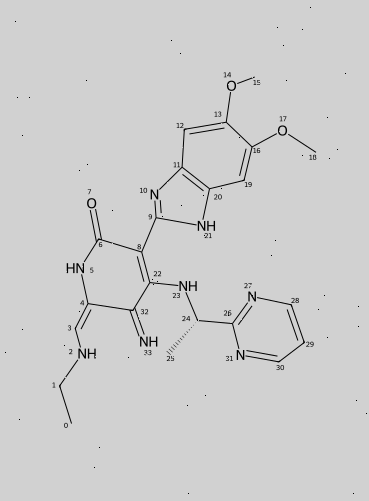 CCN/C=C1/NC(=O)C(c2nc3cc(OC)c(OC)cc3[nH]2)=C(N[C@@H](C)c2ncccn2)C1=N